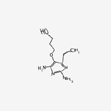 CCc1nc(N)nc(N)c1OCCCO